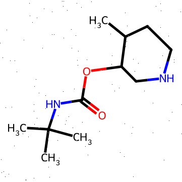 CC1CCNCC1OC(=O)NC(C)(C)C